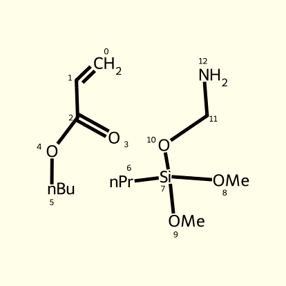 C=CC(=O)OCCCC.CCC[Si](OC)(OC)OCN